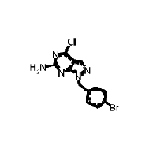 Nc1nc(Cl)c2cnn(Cc3ccc(Br)cc3)c2n1